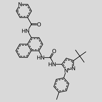 Cc1ccc(-n2nc(C(C)(C)C)cc2NC(=O)Nc2ccc(NC(=O)c3ccncc3)c3ccccc23)cc1